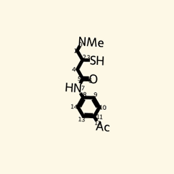 CNCC(S)CC(=O)Nc1ccc(C(C)=O)cc1